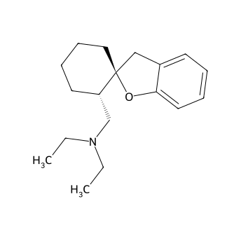 CCN(CC)C[C@@H]1CCCC[C@]12Cc1ccccc1O2